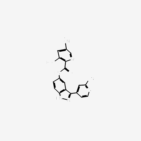 Cc1cc(C#N)cnc1C(=O)Nc1ccc2[nH]nc(-c3ccnc(C#N)c3)c2c1